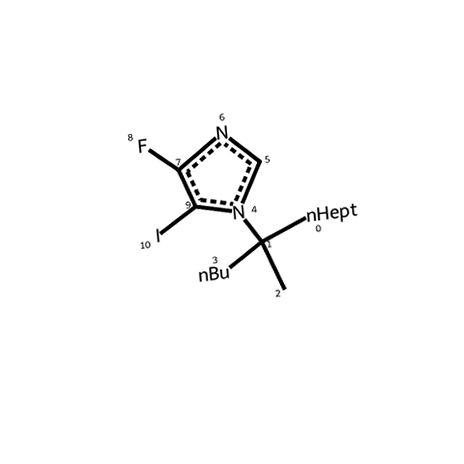 CCCCCCCC(C)(CCCC)n1cnc(F)c1I